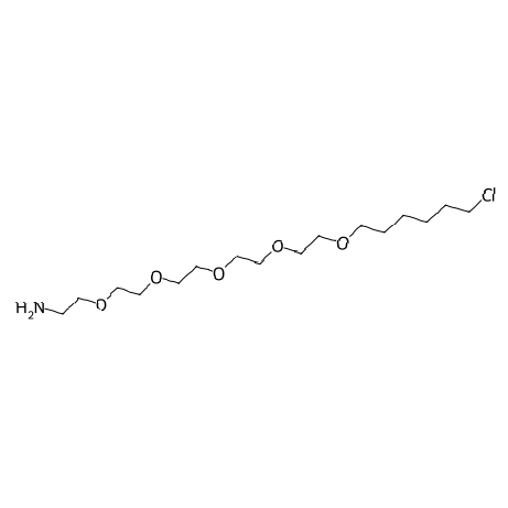 NCCOCCOCCOCCOCCOCCCCCCCl